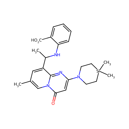 Cc1cc(C(C)Nc2ccccc2C(=O)O)c2nc(N3CC[Si](C)(C)CC3)cc(=O)n2c1